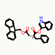 O=C(C[C@@H](Cc1ccccc1)C(=O)Oc1c[nH]c2ccccc12)OCC1c2ccccc2-c2ccccc21